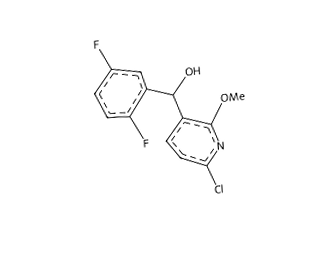 COc1nc(Cl)ccc1C(O)c1cc(F)ccc1F